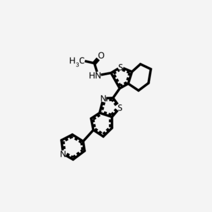 CC(=O)Nc1sc2c(c1-c1nc3cc(-c4ccncc4)ccc3s1)CCCC2